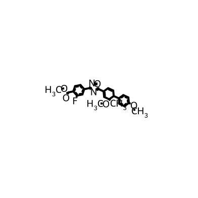 COC(=O)c1ccc(-c2noc(C3=CC(C)(OC)C(c4ccc(OC)cc4)C=C3)n2)cc1F